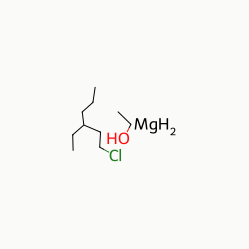 CCCC(CC)CCCl.CCO.[MgH2]